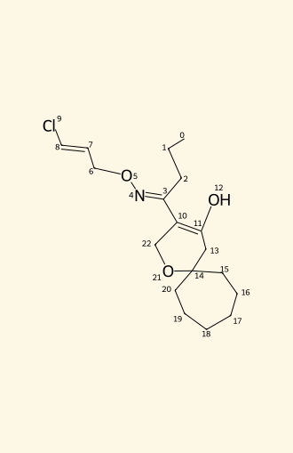 CCCC(=NOCC=CCl)C1=C(O)CC2(CCCCCC2)OC1